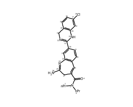 CCCN(CCC)C(=O)C1=Cc2ccc(C3=NCc4ccc(Cl)cc4N3)cc2N=C(N)C1